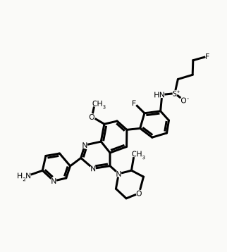 COc1cc(-c2cccc(N[S+]([O-])CCCF)c2F)cc2c(N3CCOCC3C)nc(-c3ccc(N)nc3)nc12